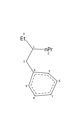 [CH2]CC(CCC)Cc1ccccc1